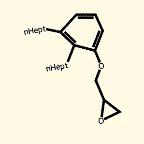 CCCCCCCc1cccc(OCC2CO2)c1CCCCCCC